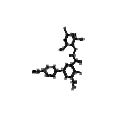 CCCc1cc(C)[nH]c(=O)c1CNC(=O)c1cc(-c2ccc(OC)nc2)cc(NC(C)C)c1C